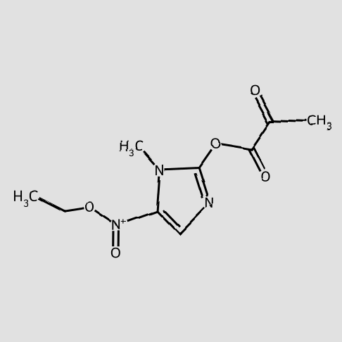 CCO[N+](=O)c1cnc(OC(=O)C(C)=O)n1C